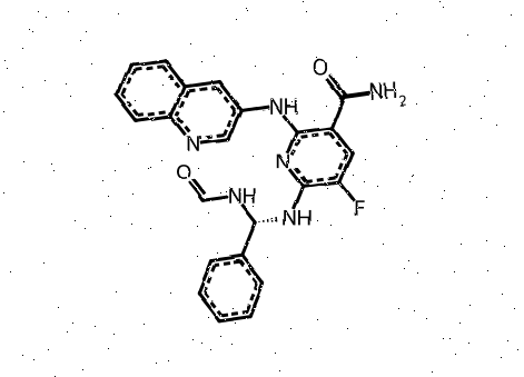 NC(=O)c1cc(F)c(N[C@@H](NC=O)c2ccccc2)nc1Nc1cnc2ccccc2c1